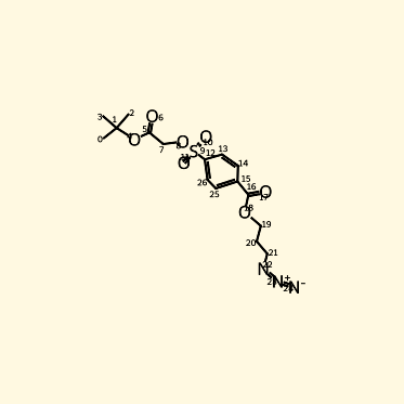 CC(C)(C)OC(=O)COS(=O)(=O)c1ccc(C(=O)OCCCN=[N+]=[N-])cc1